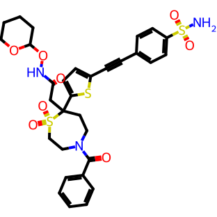 NS(=O)(=O)c1ccc(C#Cc2ccc(C3(CC(=O)NOC4CCCCO4)CCN(C(=O)c4ccccc4)CCS3(=O)=O)s2)cc1